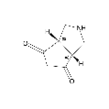 O=C1CC(=O)[C@@H]2CNC[C@H]12